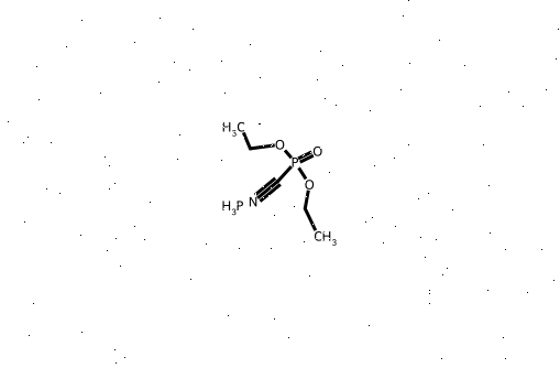 CCOP(=O)(C#N)OCC.P